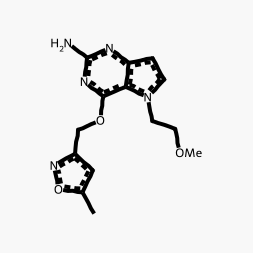 COCCn1ccc2nc(N)nc(OCc3cc(C)on3)c21